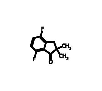 CC1(C)Cc2c(F)ccc(F)c2C1=O